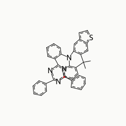 CC1(C)c2ccccc2N(c2ccccc2-c2nc(-c3ccccc3)nc(-c3ccccc3)n2)c2cc3ccsc3cc21